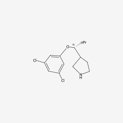 CCC[C@@H](Oc1cc(Cl)cc(Cl)c1)C1CCNC1